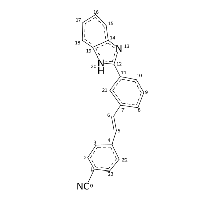 N#Cc1ccc(/C=C/c2cccc(-c3nc4ccccc4[nH]3)c2)cc1